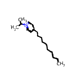 CCCCCCCCCCc1cc[n+](C(C)C)cc1